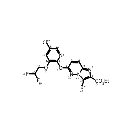 CCOC(=O)c1nc2ccc(Oc3ncc(Cl)cc3OCC(F)F)nn2c1Br